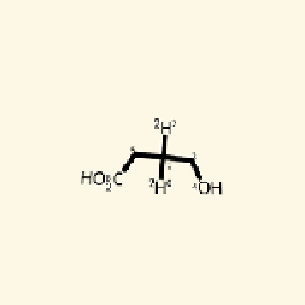 [2H]C([2H])(CO)CC(=O)O